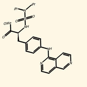 COC(=O)[C@H](Cc1ccc(Nc2nccc3cnccc23)cc1)NS(=O)(=O)N(C(C)C)C(C)C